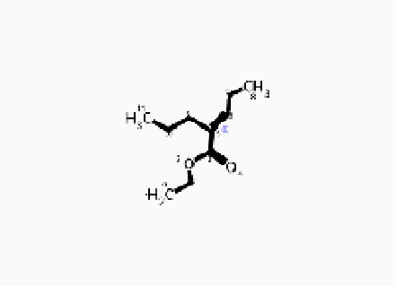 [CH2]COC(=O)/C(=C/CC)CCC